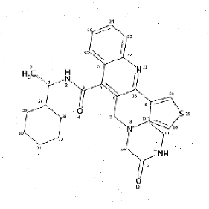 C[C@H](NC(=O)c1c(CN2CCNC(=O)C2)c(-c2ccsc2)nc2ccccc12)C1CCCCC1